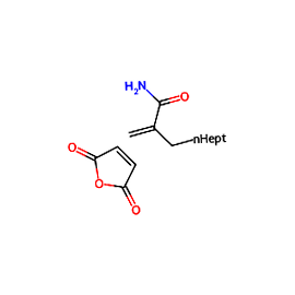 C=C(CCCCCCCC)C(N)=O.O=C1C=CC(=O)O1